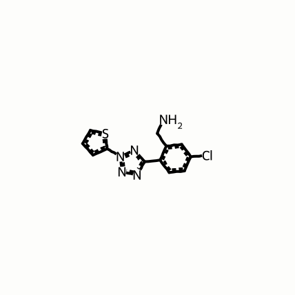 NCc1cc(Cl)ccc1-c1nnn(-c2cccs2)n1